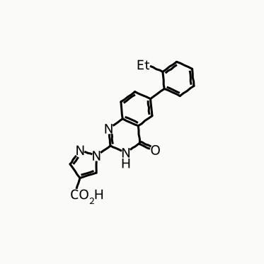 CCc1ccccc1-c1ccc2nc(-n3cc(C(=O)O)cn3)[nH]c(=O)c2c1